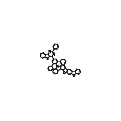 c1ccc(-c2nc(-c3cc(-c4ccccc4)c(-n4c5ccccc5c5c6oc7cc8oc9ccccc9c8cc7c6ccc54)c(-c4ccccc4)c3)c3sc4ccccc4c3n2)cc1